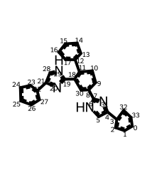 c1ccc(-c2c[nH]c(-c3ccc(-c4ccccc4)c(-c4nc(-c5ccccc5)c[nH]4)c3)n2)cc1